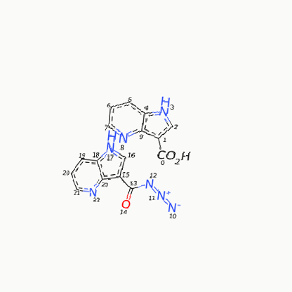 O=C(O)c1c[nH]c2cccnc12.[N-]=[N+]=NC(=O)c1c[nH]c2cccnc12